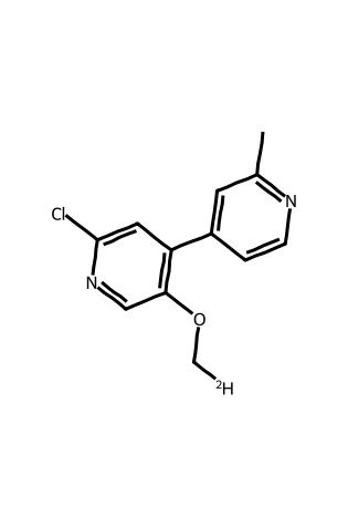 [2H]COc1cnc(Cl)cc1-c1ccnc(C)c1